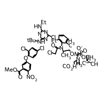 CCNc1nc(Cl)nc(NC(C)(C)C)n1.CCc1cccc(C)c1N(C(=O)CCl)C(C)COC.COC(=O)c1cc(Oc2ccc(Cl)cc2Cl)ccc1[N+](=O)[O-].C[S+](C)C.O=C(O)CNCP(=O)([O-])O